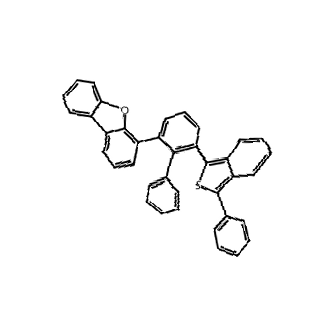 c1ccc(-c2c(-c3sc(-c4ccccc4)c4ccccc34)cccc2-c2cccc3c2oc2ccccc23)cc1